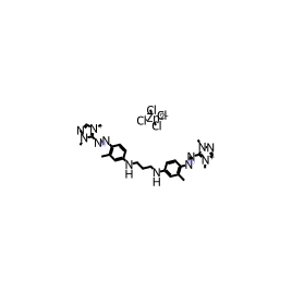 Cc1cc(NCCCNc2ccc(/N=N/c3n(C)nc[n+]3C)c(C)c2)ccc1/N=N/c1n(C)nc[n+]1C.[Cl][Zn-2]([Cl])([Cl])[Cl]